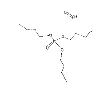 CCCCOP(=O)(OCCCC)OCCCC.O=P